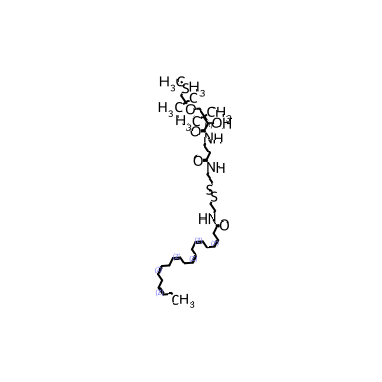 CC/C=C\C/C=C\C/C=C\C/C=C\C/C=C\C/C=C\CC(=O)NCCSSCCNC(=O)CCNC(=O)[C@H](O)C(C)(C)COC(C)(C)CSC